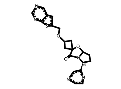 O=C1N2C(CC[C@H]2c2cnccn2)OC12CC(OCc1cc3cncnc3s1)C2